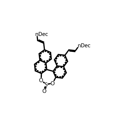 CCCCCCCCCC/C=C/c1ccc2c3c(ccc2c1)OS(=O)Oc1ccc2cc(/C=C/CCCCCCCCCC)ccc2c1-3